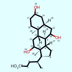 C[C@@H](CCC(=O)O)[C@H]1CC[C@H]2[C@@H]3C(O)C[C@@H]4CC(O)CC[C@]4(C)[C@H]3CC(O)[C@]12C